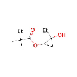 CCC(C)(C)C(=O)OC1CC1(O)CC